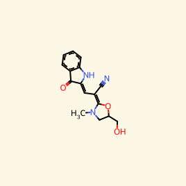 CN1CC(CO)OC1=C(C#N)C=C1Nc2ccccc2C1=O